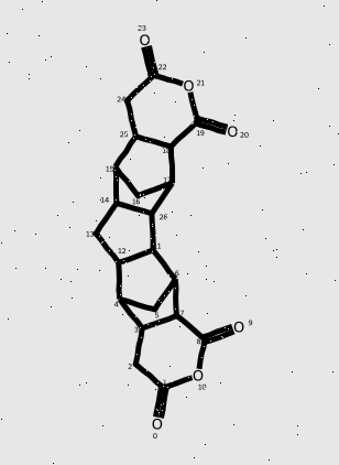 O=C1CC2C3CC(C2C(=O)O1)C1C3CC2C3CC(C4C(=O)OC(=O)CC34)C21